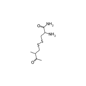 CC(=O)C(C)CSSCC(N)C(N)=O